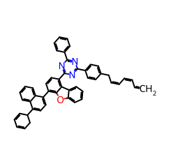 C=C/C=C\C=C/Cc1ccc(-c2nc(-c3ccccc3)nc(-c3ccc(-c4ccc(C5C=CC=CC5)c5ccccc45)c4oc5ccccc5c34)n2)cc1